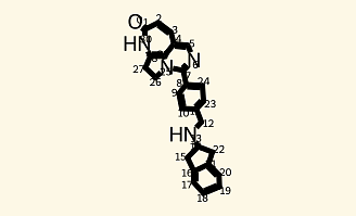 O=C1C=CC2=CN=C(c3ccc(CNC4Cc5ccccc5C4)cc3)N3CCC(=C23)N1